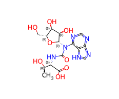 C[C@@H](O)[C@H](NC(=O)N(c1ncnc2nc[nH]c12)[C@@H]1O[C@H](CO)[C@@H](O)[C@H]1O)C(=O)O